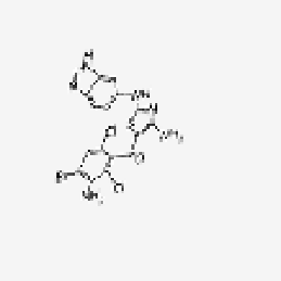 Nc1nc(Nc2ccc3nc[nH]c3c2)sc1C(=O)c1c(Cl)cc(Br)c(N)c1Cl